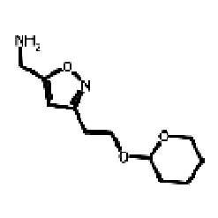 NCc1cc(CCOC2CCCCO2)no1